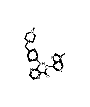 CN1CCN(Cc2ccc(Nc3nccnc3C(=O)Oc3cncc4c3ncn4C)cc2)CC1